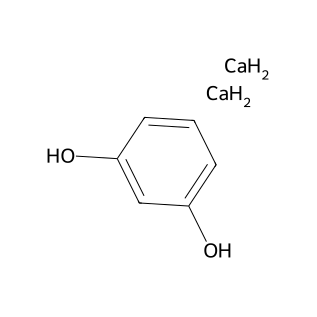 Oc1cccc(O)c1.[CaH2].[CaH2]